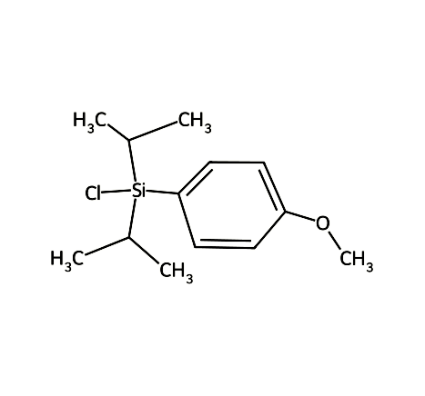 COc1ccc([Si](Cl)(C(C)C)C(C)C)cc1